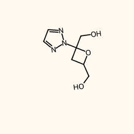 OCC1CC(CO)(n2nccn2)O1